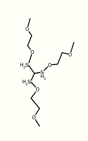 COCCO[SiH2]C([SiH2]OCCOC)[SiH2]OCCOC